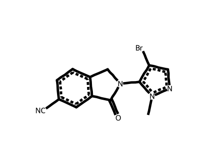 Cn1ncc(Br)c1N1Cc2ccc(C#N)cc2C1=O